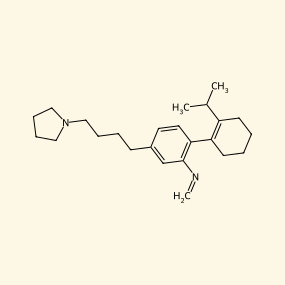 C=Nc1cc(CCCCN2CCCC2)ccc1C1=C(C(C)C)CCCC1